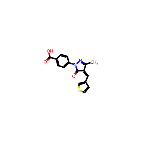 CC1=NN(c2ccc(C(=O)O)cc2)C(=O)/C1=C\c1ccsc1